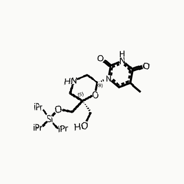 Cc1cn([C@H]2CNC[C@](CO)(CO[Si](C(C)C)(C(C)C)C(C)C)O2)c(=O)[nH]c1=O